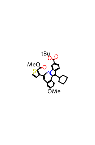 COC(=O)c1sccc1C1=Cc2cc(OC)ccc2-c2c(C3CCCCC3)c3ccc(C(=O)OC(C)(C)C)cc3n2C1